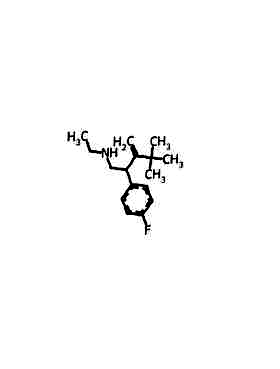 C=C(C(CNCC)c1ccc(F)cc1)C(C)(C)C